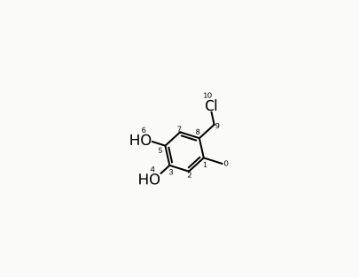 Cc1cc(O)c(O)cc1CCl